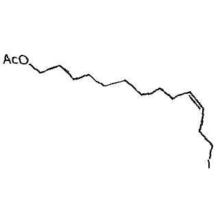 CC(=O)OCCCCCCCCC/C=C\CCI